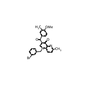 COc1ccc(C(=O)c2cn(Cc3cccc(Br)c3)c3ccc(C)nc3c2=O)cc1C